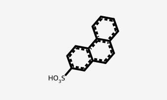 O=S(=O)(O)c1ccc2c(ccc3ccccc32)c1